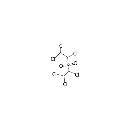 O=S(=O)(C(Cl)C(Cl)Cl)C(Cl)C(Cl)Cl